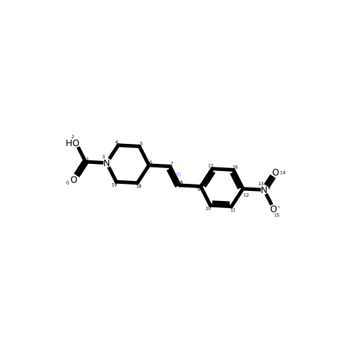 O=C(O)N1CCC(/C=C/c2ccc([N+](=O)[O-])cc2)CC1